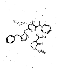 COC1CCCC(C(=O)NC2=CN(C(C)C(=O)N[C@@H](CC(=O)O)C(=O)Cn3nnnc3Cc3ccccc3)C=CC=C2)C1=O